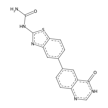 NC(=O)Nc1nc2cc(-c3ccc4nc[nH]c(=O)c4c3)ccc2s1